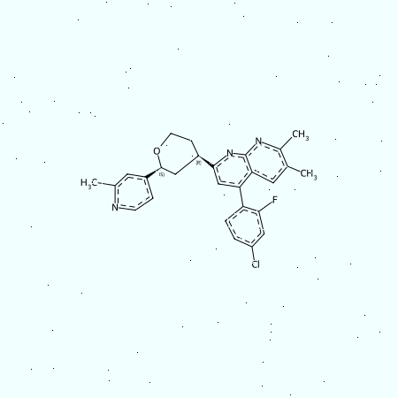 Cc1cc([C@@H]2C[C@H](c3cc(-c4ccc(Cl)cc4F)c4cc(C)c(C)nc4n3)CCO2)ccn1